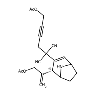 C=C(COC(C)=O)[C@@H]1C(C(C#N)(C#N)CC#CCOC(C)=O)=CC2CCC1N2